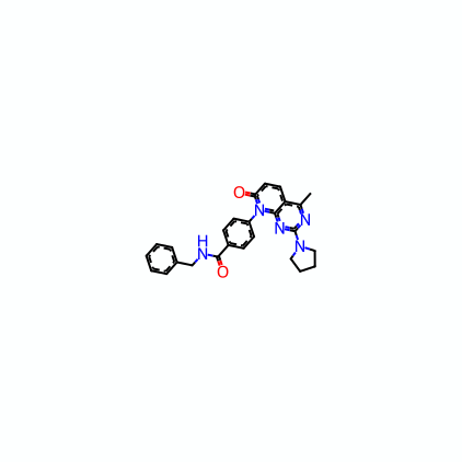 Cc1nc(N2CCCC2)nc2c1ccc(=O)n2-c1ccc(C(=O)NCc2ccccc2)cc1